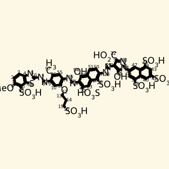 COc1ccc2nc(N=Nc3cc(OCCCS(=O)(=O)O)c(N=Nc4c(S(=O)(=O)O)cc5c(S(=O)(=O)O)c(N=Nc6c(C(=O)O)nn(-c7cc(S(=O)(=O)O)c8cc(S(=O)(=O)O)cc(S(=O)(=O)O)c8c7)c6O)ccc5c4O)cc3C)sc2c1S(=O)(=O)O